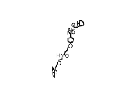 [N-]=[N+]=NCCOCCNC(=O)CCCOc1ccc(-c2nnc([S+]([O-])Cc3ccccn3)o2)cc1